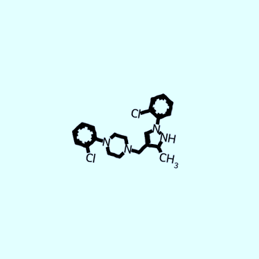 CC1NN(c2ccccc2Cl)C=C1CN1CCN(c2ccccc2Cl)CC1